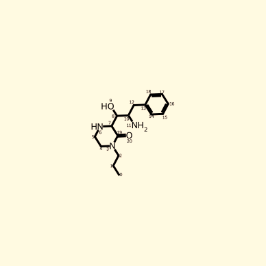 CCCN1CCNC(C(O)C(N)Cc2ccccc2)C1=O